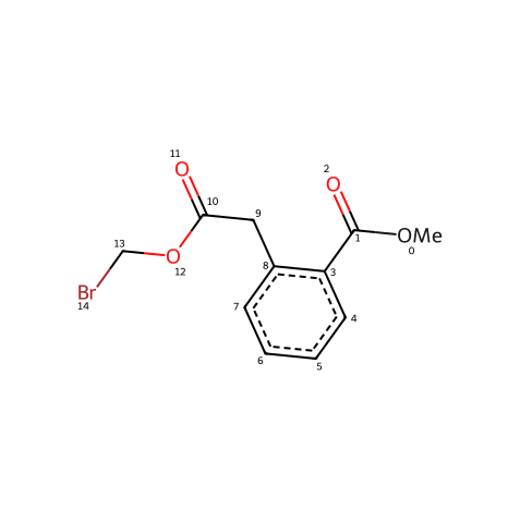 COC(=O)c1ccccc1CC(=O)OCBr